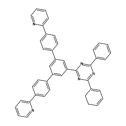 C1=CCCC(c2nc(-c3ccccc3)nc(-c3cc(-c4ccc(-c5ccccn5)cc4)cc(-c4ccc(-c5ccccn5)cc4)c3)n2)=C1